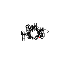 CC(=O)NCCCC[C@@H]1NC(=O)[C@H](CC2CNC3C(C)CCCC23)NC(=O)[C@H](CC(C)C)NC(=O)[C@H](CC(N)=O)NC(=O)[C@@H](NC(C)=O)C(C)(C)SSC(C)(C)[C@@H](C)NC1=O